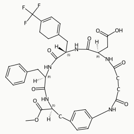 COC(=O)[C@@H]1Cc2ccc(cc2)NC(=O)CCC(=O)N[C@H](CC(=O)O)C(=O)N[C@@H](CC2=CC=C(C(F)(F)F)CC2)C(=O)N[C@H](Cc2ccccc2)C(=O)N1